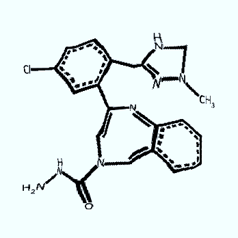 CN1CNC(c2ccc(Cl)cc2C2=CN(C(=O)NN)C=c3ccccc3=N2)=N1